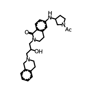 CC(=O)N1CCC(Nc2ccc3c(c2)CCN(CC(O)CN2CCc4ccccc4C2)C3=O)C1